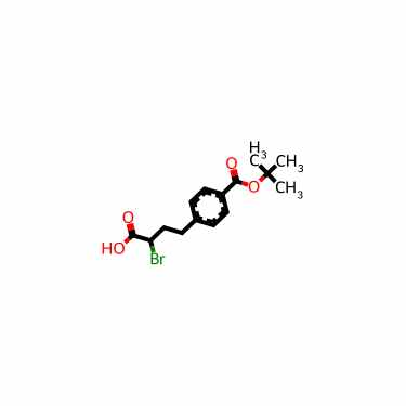 CC(C)(C)OC(=O)c1ccc(CCC(Br)C(=O)O)cc1